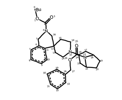 CC(C)(C)OC(=O)N1Cc2ccccc2C2(CCN(C3CC4CCC(C3)N4C(=O)OCc3ccccc3)CC2)C1